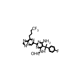 CC(C)(c1ccc(F)cc1)c1c(N)nc(-c2cn3ncnc3c(CCCC(F)(F)F)n2)nc1NC=O